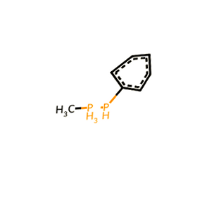 C[PH3]Pc1ccccc1